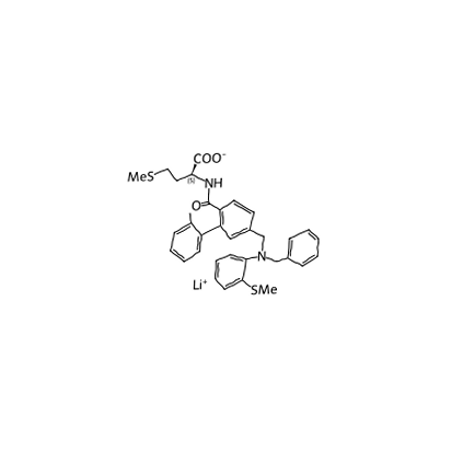 CSCC[C@H](NC(=O)c1ccc(CN(Cc2ccccc2)c2ccccc2SC)cc1-c1ccccc1C)C(=O)[O-].[Li+]